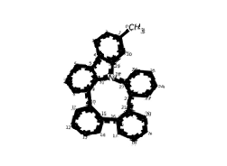 Cc1ccc2c3cccc4c5ccccc5c5ccccc5c5ccccc5n(c2c1)c43